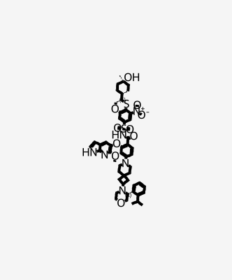 COc1nc2[nH]ccc2cc1Oc1cc(N2CCC3(CC2)CC(N2CCOC[C@H]2c2ccccc2C(C)C)C3)ccc1C(=O)NS(=O)(=O)c1cc2c(c([N+](=O)[O-])c1)S[C@@H]([C@H]1CC[C@](C)(O)CC1)CO2